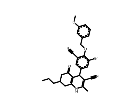 CCCC1CC(=O)C2=C(C1)NC(C)=C(C#N)C2c1cc(Br)c(OCc2cccc(OC)c2)c(C#N)c1